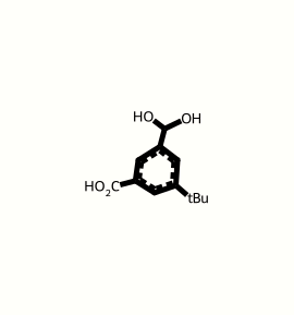 CC(C)(C)c1cc(C(=O)O)cc(C(O)O)c1